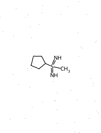 CS(=N)(=N)C1CCCC1